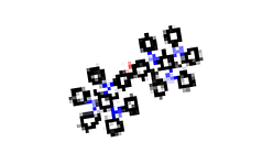 Cc1c2c3c4c5c1N(c1ccccc1)c1cc6oc7cc8c(cc7c6cc1B5c1ccccc1N4c1ccccc1B3c1ccccc1N2c1ccccc1)B1c2ccccc2N2c3ccccc3B3c4ccccc4N(c4ccccc4)c4c(C)c(c1c2c43)N8c1ccccc1